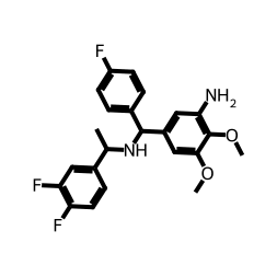 COc1cc(C(NC(C)c2ccc(F)c(F)c2)c2ccc(F)cc2)cc(N)c1OC